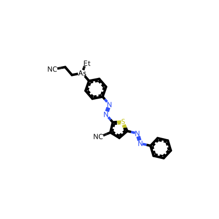 CC[As](CCC#N)c1ccc(N=Nc2sc(N=Nc3ccccc3)cc2C#N)cc1